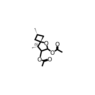 CC(=O)OC1O[C@]2(C[C@@H](C)C2)[C@@H](C)C1OC(C)=O